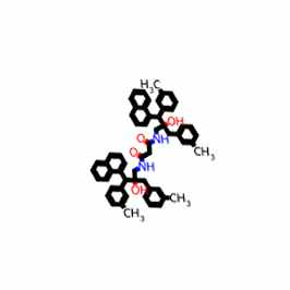 Cc1cccc(CC(O)(CNC(=O)CC(=O)NCC(O)(Cc2cccc(C)c2)C(c2cccc(C)c2)c2cccc3ccccc23)C(c2cccc(C)c2)c2cccc3ccccc23)c1